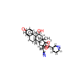 C[C@]12C=CC(=O)C=C1CC[C@@H]1[C@@H]2[C@@H](O)C[C@@]2(C)[C@H]1C[C@H]1OC(c3cccnc3)O[C@]12C(=O)CC#N